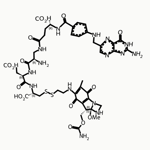 CO[C@]12NCN1C1=C(C(=O)C(NCCSSC[C@@H](NC(=O)[C@@H](CC(=O)O)NC(=O)[C@H](N)CNC(=O)CC[C@@H](NC(=O)c3ccc(NCc4cnc5nc(N)[nH]c(=O)c5n4)cc3)C(=O)O)C(=O)O)=C(C)C1=O)[C@H]2COC(N)=O